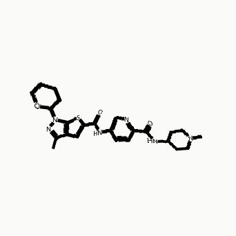 Cc1nn(C2CCCCO2)c2sc(C(=O)Nc3ccc(C(=O)NC4CCN(C)CC4)nc3)cc12